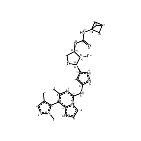 Cc1cnn(C)c1-c1c(C)nc(Nc2cc([C@H]3OC[C@@H](OC(=O)NC45CC(C4)C5)[C@@H]3F)[nH]n2)n2ccnc12